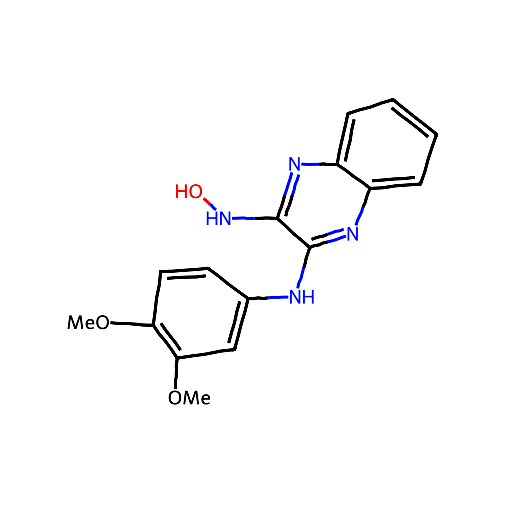 COc1ccc(Nc2nc3ccccc3nc2NO)cc1OC